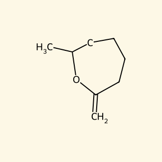 C=C1CCCCC(C)O1